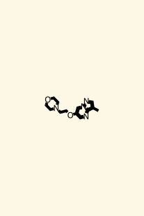 Cc1cnn2cc(OCCN3CCOCC3)cnc12